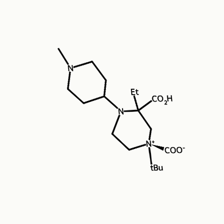 CCC1(C(=O)O)C[N@+](C(=O)[O-])(C(C)(C)C)CCN1C1CCN(C)CC1